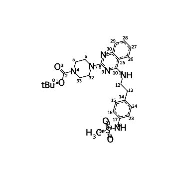 CC(C)(C)OC(=O)N1CCN(c2nc(NCCc3ccc(NS(C)(=O)=O)cc3)c3ccccc3n2)CC1